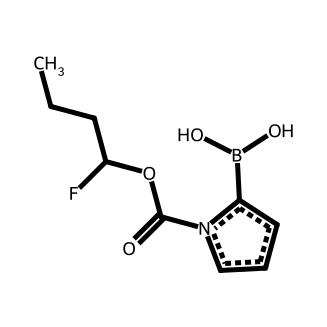 CCCC(F)OC(=O)n1cccc1B(O)O